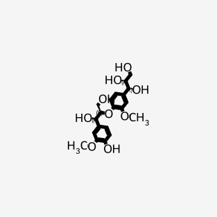 COc1cc([C@@H](O)[C@@H](CO)Oc2ccc([C@@H](O)[C@H](O)CO)cc2OC)ccc1O